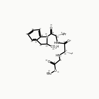 CC(C)[C@H](NC(=O)[C@H](C)NCC(=O)OC(C)(C)C)C(=O)N1c2ccccc2CC1C(=O)O